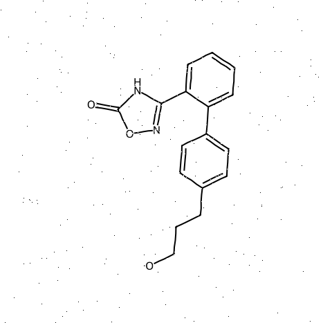 [O]CCCc1ccc(-c2ccccc2-c2noc(=O)[nH]2)cc1